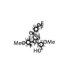 COc1cc(CO)nc(N2C[C@@H](c3c(F)cc(OC)cc3F)C(CNC(=O)c3ccc(OC(F)F)cc3)C2=O)c1